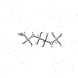 CCCC[Si](C)(C)O[Si](C)(C)C(C)(C)O[Si](C)(C)C